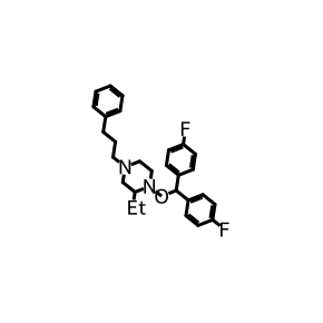 CCC1CN(CCCc2ccccc2)CCN1OC(c1ccc(F)cc1)c1ccc(F)cc1